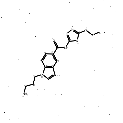 CCSc1nnc(NC(=O)c2ccc3c(c2)ncn3CCCN)s1